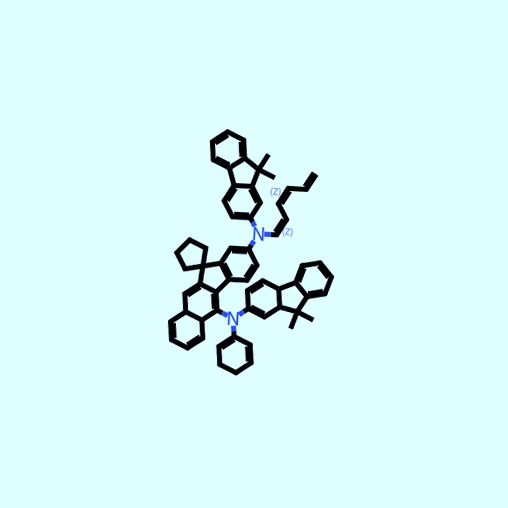 C=C/C=C\C=C/N(c1ccc2c(c1)C1(CCCC1)C1=CC3C=CC=CC3C(N(C3=CCCC=C3)C3=CC4C(C=C3)c3ccccc3C4(C)C)=C12)c1ccc2c(c1)C(C)(C)c1ccccc1-2